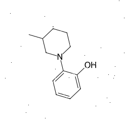 CC1[CH]CCN(c2ccccc2O)C1